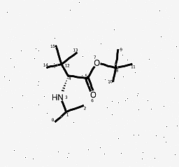 CC(C)N[C@@H](C(=O)OC(C)(C)C)C(C)(C)C